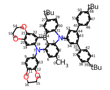 Cc1cc2c3c(c1)N(c1ccc4c(c1)OCCO4)c1cc4c(cc1B3c1cc(C(C)(C)C)ccc1N2c1cc(-c2ccc(C(C)(C)C)cc2)cc(-c2ccc(C(C)(C)C)cc2)c1)OCCO4